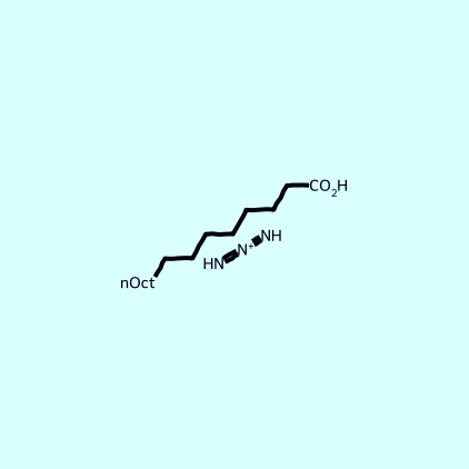 CCCCCCCCCCCCCCCC(=O)O.N=[N+]=N